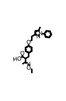 CCON=C(C)C(Cc1ccc(OCCc2cc(C)n(-c3ccccc3)n2)cc1)C(=O)O